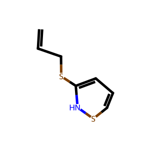 C=CCSC1=CC=CSN1